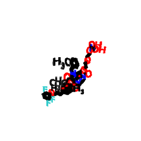 Cc1ccccc1CN(C(=O)C1(C)C(c2ccc(CCCOc3c(F)ccc(F)c3F)cc2)CC2CN(C(=O)OCCOCCON(O)O)CC1N2C(=O)OC(C)(C)C(Cl)(Cl)Cl)C1CC1